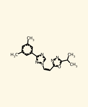 Cc1cc(C)cc(-c2ncn(/C=C\c3nnc(C(C)C)o3)n2)c1